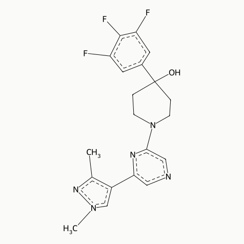 Cc1nn(C)cc1-c1cncc(N2CCC(O)(c3cc(F)c(F)c(F)c3)CC2)n1